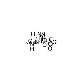 C=CC(=O)NC1CN(CCn2c(=O)c(-c3cc(OC)cc(OC)c3Cl)cc3cnc(N)nc32)C1